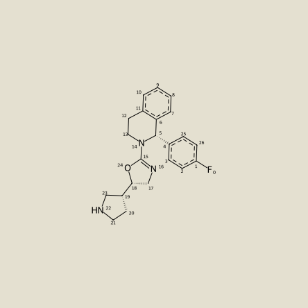 Fc1ccc([C@H]2c3ccccc3CCN2C2=NC[C@H]([C@@H]3CCNC3)O2)cc1